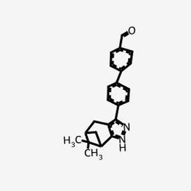 CC1(C)C2Cc3c(-c4ccc(-c5ccc(C=O)cc5)cc4)n[nH]c3C1C2